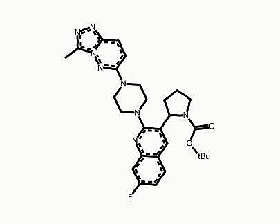 Cc1nnc2ccc(N3CCN(c4nc5cc(F)ccc5cc4C4CCCN4C(=O)OC(C)(C)C)CC3)nn12